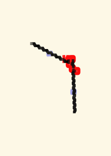 CCCCCCCC/C=C/CCCCCCCC(=O)OCC(CO)OC(=O)CCCCCCC/C=C/CCCCCCCC